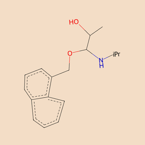 CC(C)NC(OCc1cccc2ccccc12)C(C)O